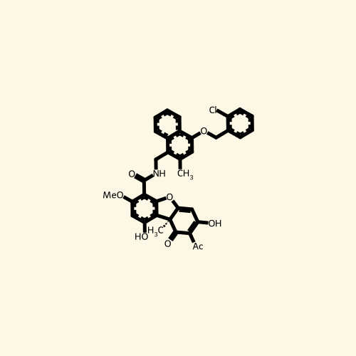 COc1cc(O)c2c(c1C(=O)NCc1c(C)cc(OCc3ccccc3Cl)c3ccccc13)OC1=CC(O)=C(C(C)=O)C(=O)[C@]12C